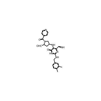 Cc1ccc(CNc2nc(C=N)c(NC3CC(C=O)N(C(=O)c4ccncc4)C3)c(=O)[nH]2)cc1C